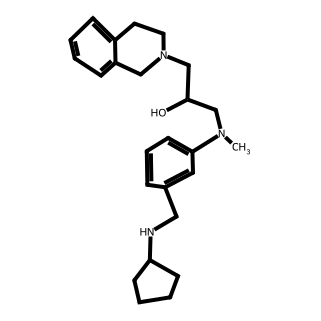 CN(CC(O)CN1CCc2ccccc2C1)c1cccc(CNC2CCCC2)c1